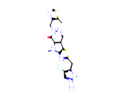 Cc1scnc1CN1N=CC2c3sc(Cc4n[nH]cc4F)nc3N(C)C2C1=O